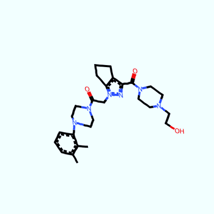 Cc1cccc(N2CCN(C(=O)Cn3nc(C(=O)N4CCN(CCO)CC4)c4c3CCC4)CC2)c1C